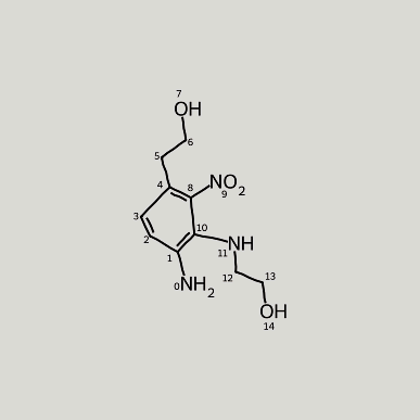 Nc1ccc(CCO)c([N+](=O)[O-])c1NCCO